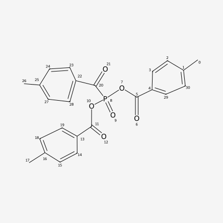 Cc1ccc(C(=O)OP(=O)(OC(=O)c2ccc(C)cc2)C(=O)c2ccc(C)cc2)cc1